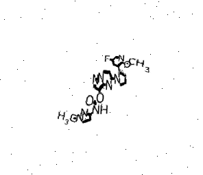 COc1ncc(F)cc1[C@H]1CCCN1c1ccn2ncc(OC(=O)Nc3ccn(C)n3)c2n1